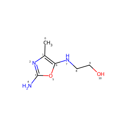 Cc1nc(N)oc1NCCO